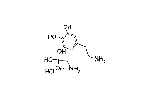 Cl.NCC(O)(O)O.NCCc1ccc(O)c(O)c1